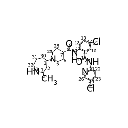 CC1CC(N2CCC(C(=O)Nc3ccc(Cl)cc3C(=O)Nc3ccc(Cl)cn3)CC2)CCCN1